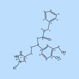 CCN1C=C(CCC(CC(=O)OCc2ccccc2)c2ccc(C)c(CO)c2)NN1